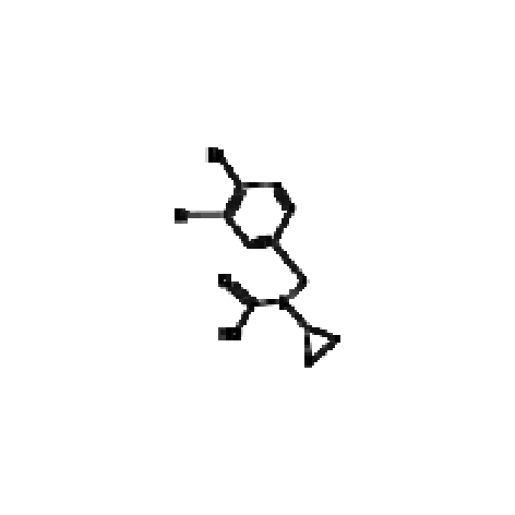 O=C(O)N(Cc1ccc(Br)c(Br)c1)C1CC1